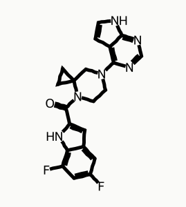 O=C(c1cc2cc(F)cc(F)c2[nH]1)N1CCN(c2ncnc3[nH]ccc23)CC12CC2